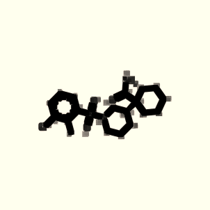 Cc1c(Cl)cccc1S(=O)(=O)N1CCC[C@H](C2(C(N)=O)CCCCC2)C1